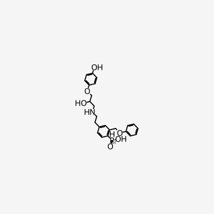 O=[P@@H](O)c1ccc(CCNCC(O)COc2ccc(O)cc2)cc1COc1ccccc1